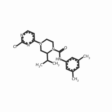 Cc1cc(C)cc(NC(=O)N2CCN(c3ccnc(Cl)n3)CC2C(C)C)c1